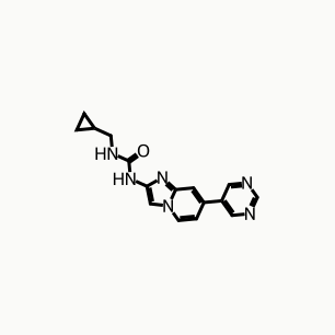 O=C(NCC1CC1)Nc1cn2ccc(-c3cncnc3)cc2n1